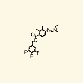 CCN(C)/C=N/c1ccc(C(=O)OCc2cc(F)c(F)c(F)c2)c(C)c1C